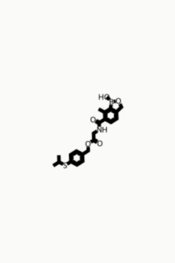 Cc1c(C(=O)NCC(=O)OCc2ccc(SC(C)C)cc2)ccc2c1B(O)OC2